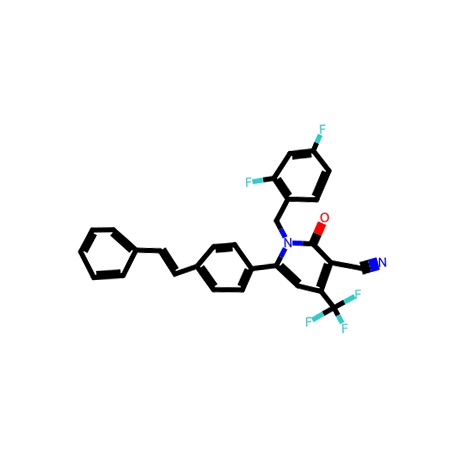 N#Cc1c(C(F)(F)F)cc(-c2ccc(C=Cc3ccccc3)cc2)n(Cc2ccc(F)cc2F)c1=O